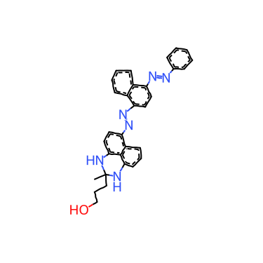 CC1(CCCO)Nc2cccc3c(/N=N/c4ccc(/N=N/c5ccccc5)c5ccccc45)ccc(c23)N1